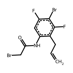 C=CCc1c(NC(=O)CBr)cc(F)c(Br)c1F